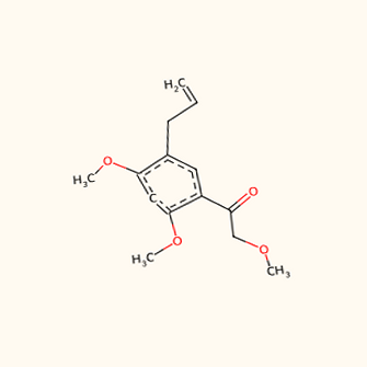 C=CCc1cc(C(=O)COC)c(OC)cc1OC